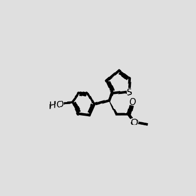 COC(=O)C[C@@H](c1ccc(O)cc1)c1cccs1